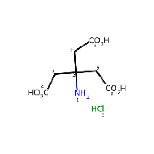 Cl.NC(CC(=O)O)(CC(=O)O)CC(=O)O